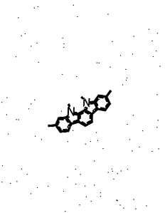 Cc1ccc2c3ccc4c5ccc(C)cc5n(C)c4c3n(C)c2c1